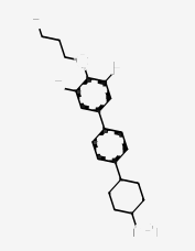 CCCC1CCC(c2ccc(-c3cc(F)c(OCCCF)c(F)c3)cc2)CC1